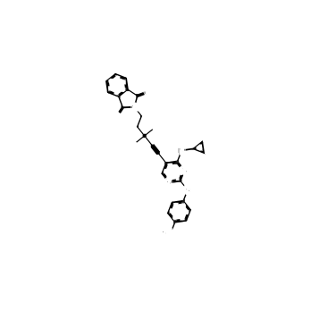 CC(C)(C#Cc1cnc(Nc2ccc(C#N)cc2)nc1NC1CC1)CCN1C(=O)c2ccccc2C1=O